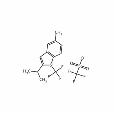 Cc1ccc2c(c1)cc(C(C)C)[s+]2C(F)(F)F.O=S(=O)([O-])C(F)(F)F